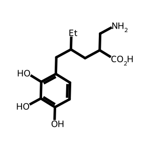 CCC(Cc1ccc(O)c(O)c1O)CC(CN)C(=O)O